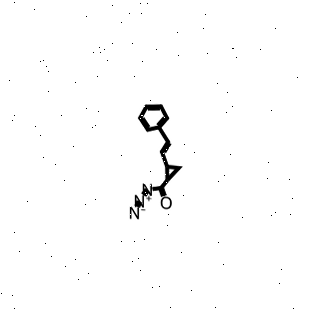 [N-]=[N+]=NC(=O)C1CC1C=Cc1ccccc1